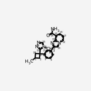 CC1CC(c2cccc(-c3cn4cccc(C(N)=O)c4n3)c2)(c2nncn2C)C1